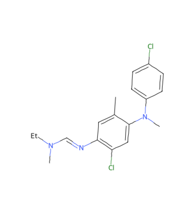 CCN(C)C=Nc1cc(C)c(N(C)c2ccc(Cl)cc2)cc1Cl